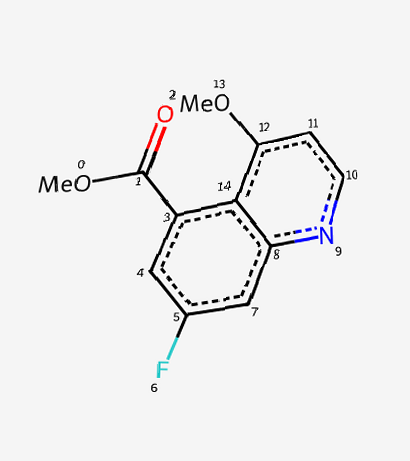 COC(=O)c1cc(F)cc2nccc(OC)c12